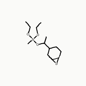 CCO[Si](C)(OCC)OC(C)C1CCC2OC2C1